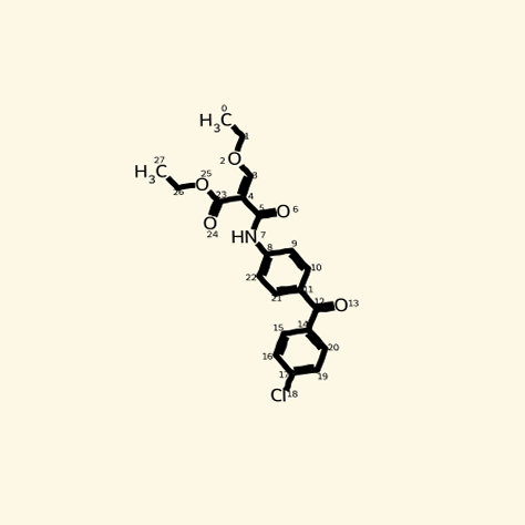 CCOC=C(C(=O)Nc1ccc(C(=O)c2ccc(Cl)cc2)cc1)C(=O)OCC